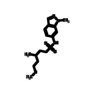 COCCC(C)CCS(=O)(=O)Nc1ccc2cnn(C)c2c1